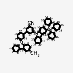 Cc1ccc2c(c1)c1ccccc1n2-c1cccc(-c2cc(C#N)cc(-n3c4ccccc4c4cc([Si](c5ccccc5)(c5ccccc5)c5ccccc5)ccc43)c2)c1